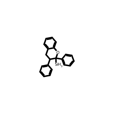 [SiH3]C1(c2ccccc2)Oc2ccccc2CC1c1ccccc1